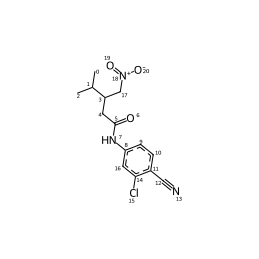 CC(C)C(CC(=O)Nc1ccc(C#N)c(Cl)c1)C[N+](=O)[O-]